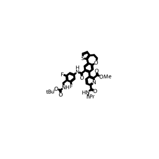 CCCNC(=O)c1ccc(-c2cc3c(cc2C(=O)Nc2cc(F)c(CNC(=O)OC(C)(C)C)c(F)c2)-c2sccc2CCO3)c(C(=O)OC)n1